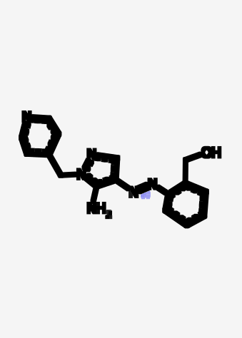 Nc1c(/N=N/c2ccccc2CO)cnn1Cc1ccncc1